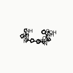 O=C(O)N[C@@H](C(=O)N1CCC[C@H]1c1ncc(-c2ccc(-c3ccc(-c4cnc([C@@H]5CCCN5C(=O)[C@@H]5CCCN5)[nH]4)cc3)cc2)[nH]1)c1ccccc1